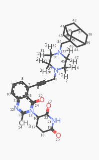 [2H]C1([2H])N(CC#Cc2cccc3nc(C)n(C4CCC(=O)NC4=O)c(=O)c23)C([2H])([2H])C([2H])([2H])N(CC23CC4CC(CC(C4)C2)C3)C1([2H])[2H]